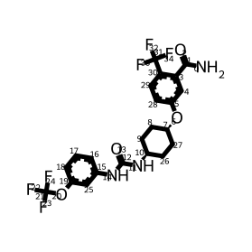 NC(=O)c1cc(O[C@H]2CC[C@H](NC(=O)Nc3cccc(OC(F)(F)F)c3)CC2)ccc1C(F)(F)F